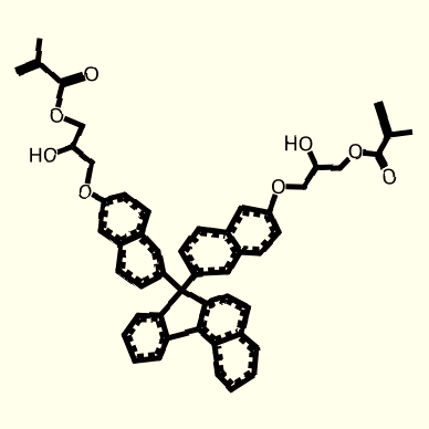 C=C(C)C(=O)OCC(O)COc1ccc2cc(C3(c4ccc5cc(OCC(O)COC(=O)C(=C)C)ccc5c4)c4ccccc4-c4c3ccc3ccccc43)ccc2c1